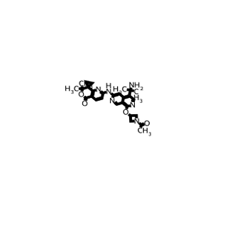 CC(=O)N1CC(Oc2ncc(C(C)(C)N)c3cc(Nc4ccc5c(n4)C4(CC4)C(C)(C)OC5=O)ncc23)C1